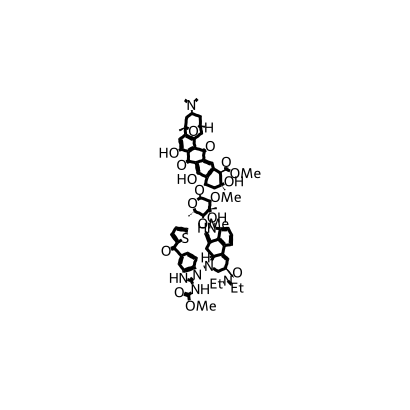 CCN(CC)C(=O)[C@@H]1C=C2c3cccc4[nH]cc(c34)C[C@H]2N(C)C1.COC(=O)Nc1nc2ccc(C(=O)c3cccs3)cc2[nH]1.COC(=O)[C@@H]1c2cc3c(c(O)c2[C@@H](O[C@@H]2O[C@@H](C)[C@H](OC)[C@@](C)(O)[C@H]2OC)C[C@]1(C)O)C(=O)c1c(O)cc2c(c1C3=O)C[C@H]1C[C@H](N(C)C)C[C@]2(C)O1